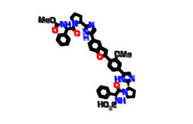 COC(=O)NC(C(=O)N1CCCC1c1ncc(-c2ccc3oc(-c4ccc(-c5cnc([C@@H]6CCCN6C(=O)[C@H](NC(=O)O)c6ccccc6)[nH]5)cc4OC)cc3c2)[nH]1)c1ccccc1